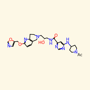 CC(=O)N1CCC(Nc2cc(C(=O)NC[C@H](O)CN3CCc4nc(OCc5cnco5)ccc4C3)ncn2)CC1